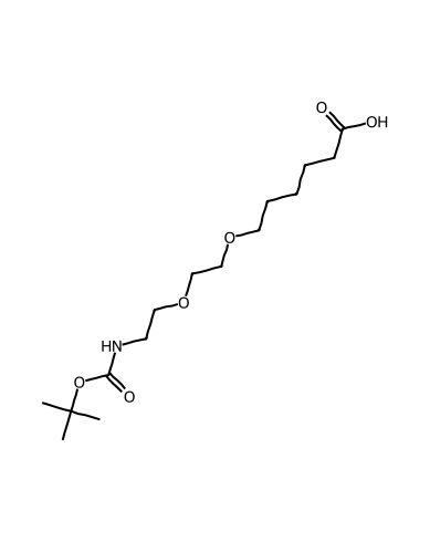 CC(C)(C)OC(=O)NCCOCCOCCCCCC(=O)O